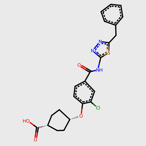 O=C(Nc1nnc(Cc2ccccc2)s1)c1ccc(O[C@H]2CC[C@@H](C(=O)O)CC2)c(Cl)c1